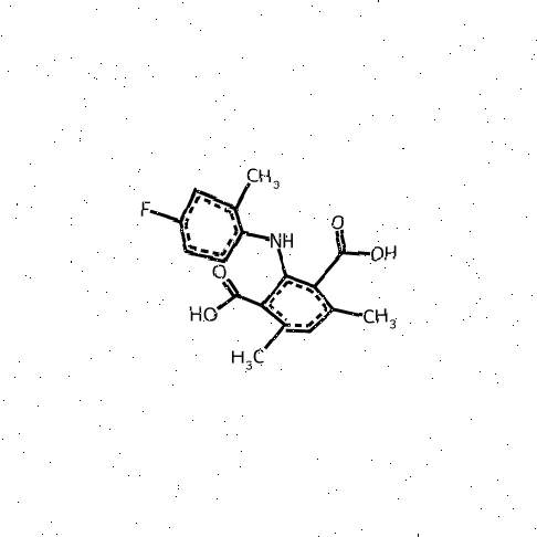 Cc1cc(F)ccc1Nc1c(C(=O)O)c(C)cc(C)c1C(=O)O